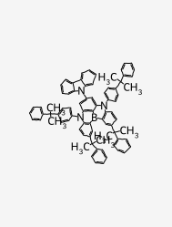 CC(C)(c1ccccc1)c1ccc(N2c3ccc(C(C)(C)c4ccccc4)cc3B3c4cc(C(C)(C)c5ccccc5)ccc4N(c4ccc(C(C)(C)c5ccccc5)cc4)c4cc(-n5c6ccccc6c6ccccc65)cc2c43)cc1